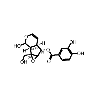 O=C(O[C@@H]1C2O[C@]2(CO)[C@H]2C(O)OC=C[C@@H]12)c1ccc(O)c(O)c1